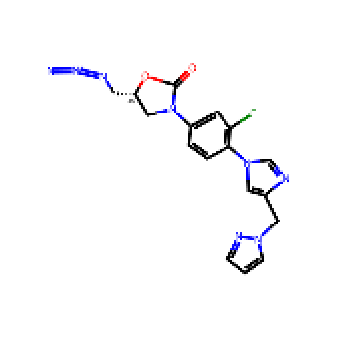 [N-]=[N+]=NC[C@H]1CN(c2ccc(-n3cnc(Cn4cccn4)c3)c(F)c2)C(=O)O1